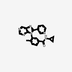 Cc1ccc(C(=O)NC2CC2)cc1-n1c(-c2cccnc2)nc2cncnc21